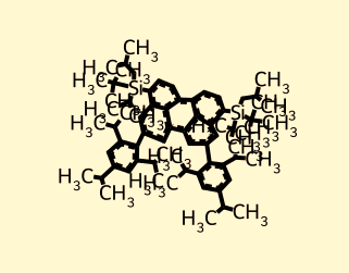 CC(C)C[Si](c1ccc2c3ccc([Si](CC(C)C)(C(C)(C)C)C(C)(C)C)c4cc(-c5c(C(C)C)cc(C(C)C)cc5C(C)C)cc(c5cc(-c6c(C(C)C)cc(C(C)C)cc6C(C)C)cc1c25)c43)(C(C)C)C(C)(C)C